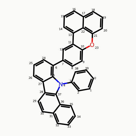 c1ccc(-n2c3c(-c4ccc5c(c4)-c4cccc6cccc(c46)O5)cccc3c3ccc4ccccc4c32)cc1